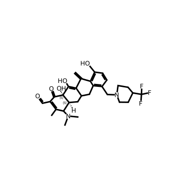 C=C1C2=C(O)[C@]3(O)C(=O)C(C=O)=C(C)C(N(C)C)[C@@H]3CC2Cc2c(CN3CCC(C(F)(F)F)CC3)ccc(O)c21